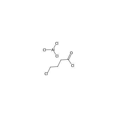 O=C(Cl)CCCCl.[Cl][Al]([Cl])[Cl]